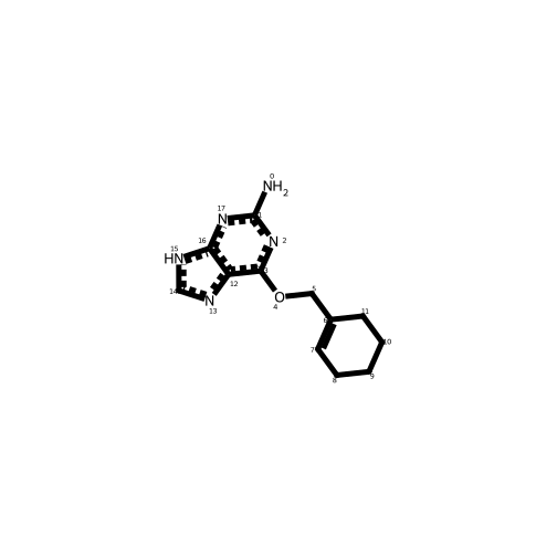 Nc1nc(OCC2=CCCCC2)c2nc[nH]c2n1